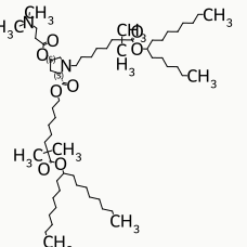 CCCCCCCCC(CCCCCC)OC(=O)C(C)(C)CCCCCCN1C[C@@H](OC(=O)CCN(C)C)C[C@H]1C(=O)OCCCCCCC(C)(C)C(=O)OC(CCCCCCCC)CCCCCCCC